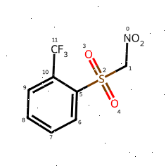 O=[N+]([O-])CS(=O)(=O)c1ccccc1C(F)(F)F